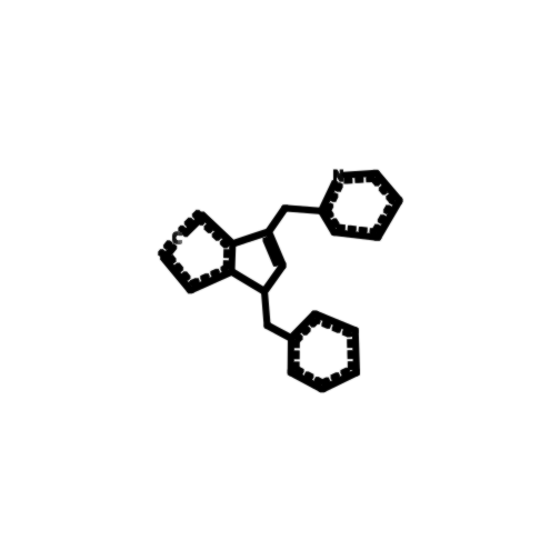 C1=C(Cc2ccccn2)c2ccccc2C1Cc1ccccc1